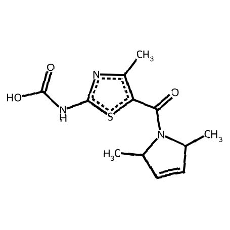 Cc1nc(NC(=O)O)sc1C(=O)N1C(C)C=CC1C